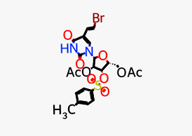 CC(=O)OC[C@H]1O[C@@H](n2cc(/C=C/Br)c(=O)[nH]c2=O)[C@H](OC(C)=O)[C@H]1OS(=O)(=O)c1ccc(C)cc1